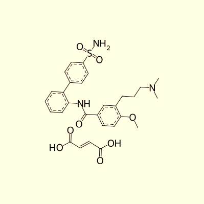 COc1ccc(C(=O)Nc2ccccc2-c2ccc(S(N)(=O)=O)cc2)cc1CCCN(C)C.O=C(O)C=CC(=O)O